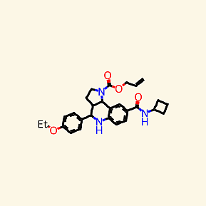 C=CCOC(=O)N1CCC2C(c3ccc(OCC)cc3)Nc3ccc(C(=O)NC4CCC4)cc3C21